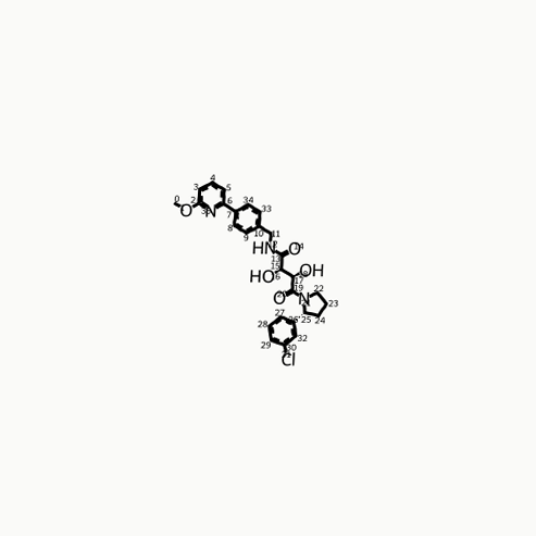 COc1cccc(-c2ccc(CNC(=O)[C@H](O)[C@@H](O)C(=O)N3CCC[C@@H]3c3cccc(Cl)c3)cc2)n1